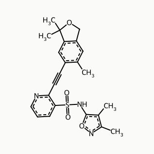 Cc1cc2c(cc1C#Cc1ncccc1S(=O)(=O)Nc1onc(C)c1C)C(C)(C)OC2